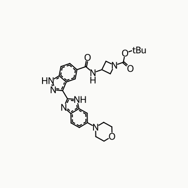 CC(C)(C)OC(=O)N1CC(NC(=O)c2ccc3[nH]nc(-c4nc5ccc(N6CCOCC6)cc5[nH]4)c3c2)C1